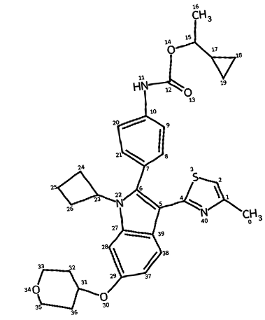 Cc1csc(-c2c(-c3ccc(NC(=O)OC(C)C4CC4)cc3)n(C3CCC3)c3cc(OC4CCOCC4)ccc23)n1